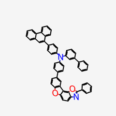 c1ccc(-c2cccc(N(c3ccc(-c4ccc5oc6ccc7nc(-c8ccccc8)oc7c6c5c4)cc3)c3ccc(-c4cc5ccccc5c5ccccc45)cc3)c2)cc1